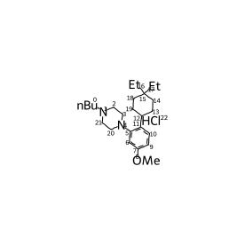 CCCCN1CCN(c2cc(OC)ccc2C2CCC(CC)(CC)CC2)CC1.Cl